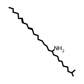 CCCCCC=CCC=CCCCCCCCC(N)CCCCCCCC(C)C